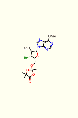 COc1ncnc2c1ncn2[C@@H]1O[C@H](COC2(C)OC(=O)C(C)(C)O2)[C@H](Br)[C@H]1OC(C)=O